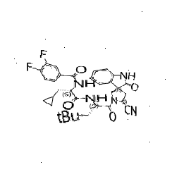 CC(C)(C)C[C@H](NC(=O)[C@H](CC1CC1)NC(=O)c1ccc(F)c(F)c1)C(=O)N1C[C@]2(C[C@H]1C#N)C(=O)Nc1ccccc12